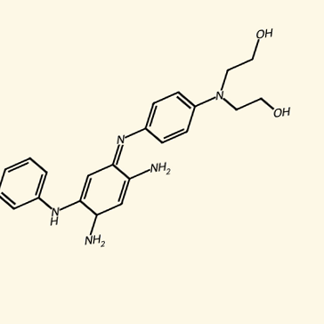 NC1=CC(N)C(Nc2ccccc2)=C/C1=N/c1ccc(N(CCO)CCO)cc1